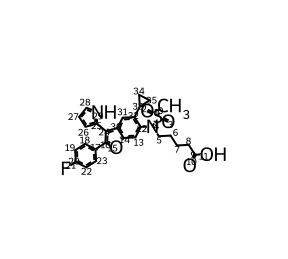 CS(=O)(=O)N(CCCCC(=O)O)c1cc2oc(-c3ccc(F)cc3)c(-c3ccc[nH]3)c2cc1C1CC1